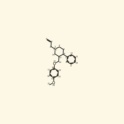 C=CCN1CCC(c2ccccc2)C(COc2ccc(OC)cc2)C1